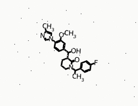 COc1cc(C(O)C2CCCN(C(C)c3ccc(F)cc3)C2=O)ccc1-n1cnc(C)c1